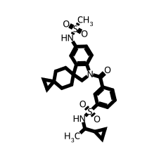 CC(NS(=O)(=O)c1cccc(C(=O)N2CC3(CCC4(CC4)CC3)c3cc(NS(C)(=O)=O)ccc32)c1)C1CC1